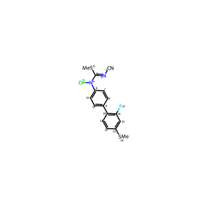 CSC(=NC#N)N(Cl)c1ccc(-c2ccc(SC)cc2F)cc1